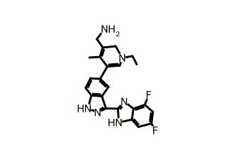 CCN1C=C(c2ccc3[nH]nc(-c4nc5c(F)cc(F)cc5[nH]4)c3c2)C(C)=C(CN)C1